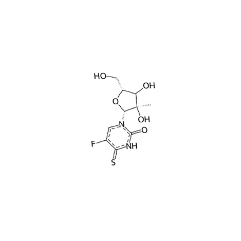 C[C@@]1(O)C(O)[C@@H](CO)O[C@H]1n1cc(F)c(=S)[nH]c1=O